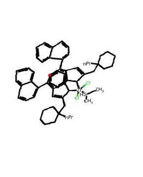 CCCC1(CC2=Cc3c(-c4cccc5ccccc45)cccc3[CH]2[Zr]([Cl])([Cl])([CH]2C(CC3(CCC)CCCCC3)=Cc3c(-c4cccc5ccccc45)cccc32)[SiH](C)C)CCCCC1